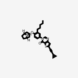 CCCCCc1cc(-n2cnc3cc(C#CC4CC4)sc3c2=O)ccc1O[C@H]1C[C@H]2CC[C@@H](C1)N2C